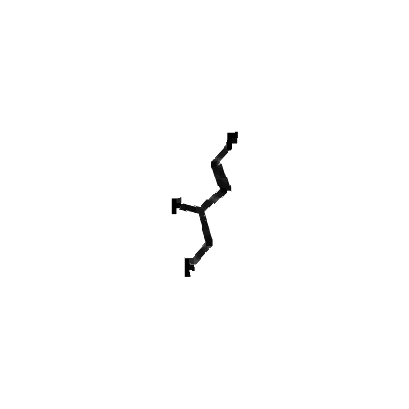 FC=CC(F)CF